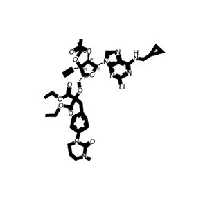 C#C[C@@]1(OC(C)=O)[C@@H](COC(Cc2ccc(N3CCCN(C)C3=O)cc2)(C(=O)OCC)C(=O)OCC)O[C@@H](n2cnc3c(NCC4CC4)nc(Cl)nc32)[C@@H]1OC(C)=O